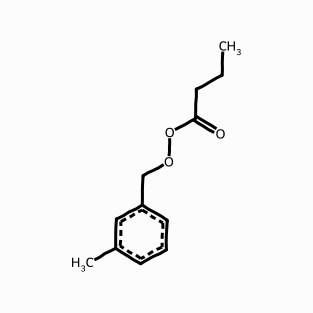 CCCC(=O)OOCc1cccc(C)c1